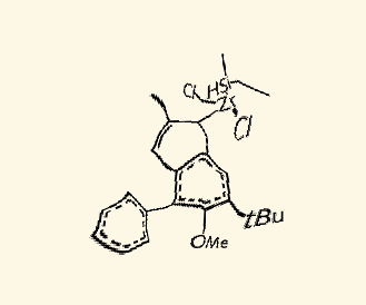 COc1c(C(C)(C)C)cc2c(c1-c1ccccc1)C=C(C)[CH]2[Zr]([Cl])([Cl])[SiH](C)C